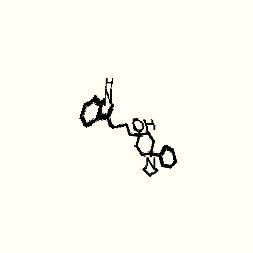 OC1(CCCc2c[nH]c3ccccc23)CCC(c2ccccc2)(N2CCC2)CC1